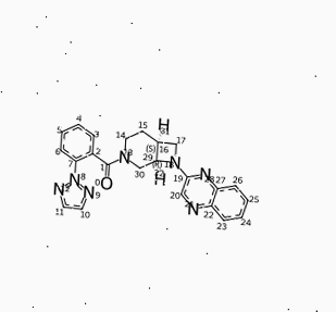 O=C(c1ccccc1-n1nccn1)N1CC[C@H]2CN(c3cnc4ccccc4n3)[C@H]2C1